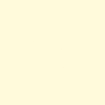 CC(OP(O)OC(C)C1CCCS1(=O)=O)C1CCCS1